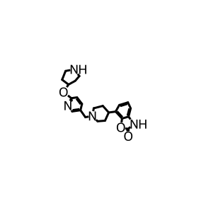 O=c1[nH]c2cccc(C3CCN(Cc4ccc(OC5CCNCC5)nc4)CC3)c2o1